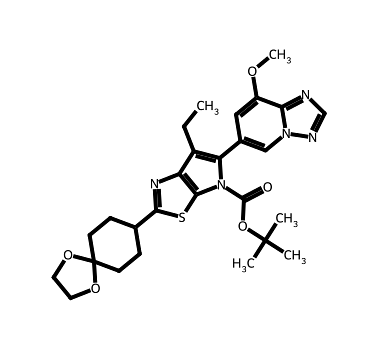 CCc1c(-c2cc(OC)c3ncnn3c2)n(C(=O)OC(C)(C)C)c2sc(C3CCC4(CC3)OCCO4)nc12